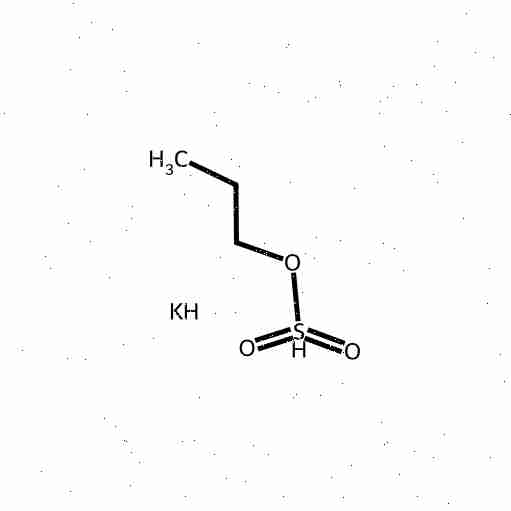 CCCO[SH](=O)=O.[KH]